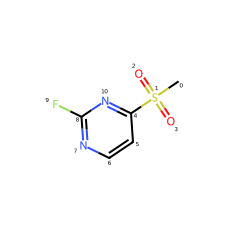 CS(=O)(=O)c1ccnc(F)n1